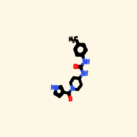 Cc1ccc(NC(=O)NC2CCN(C(=O)c3cc[nH]c3)CC2)cc1